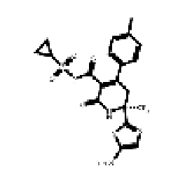 CCCCCCCc1cnc([C@]2(C(F)(F)F)CC(c3ccc(C)cc3)=C(C(=O)NS(=O)(=O)C3CC3)C(=O)N2)s1